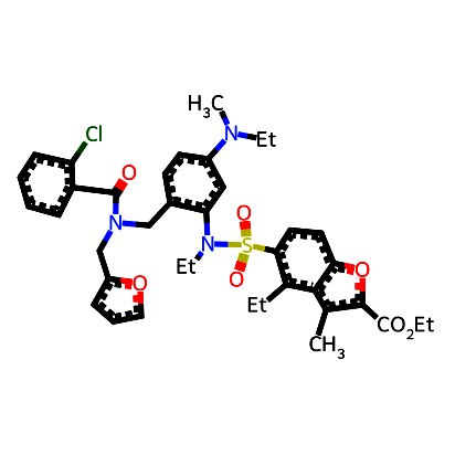 CCOC(=O)c1oc2ccc(S(=O)(=O)N(CC)c3cc(N(C)CC)ccc3CN(Cc3ccco3)C(=O)c3ccccc3Cl)c(CC)c2c1C